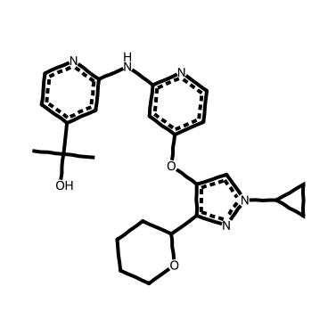 CC(C)(O)c1ccnc(Nc2cc(Oc3cn(C4CC4)nc3C3CCCCO3)ccn2)c1